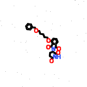 O=C1CCC(N2C(=O)c3cccc(OCCCCCOCc4ccccc4)c3C2=O)C(=O)N1